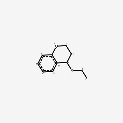 CCSC1CCOc2ccccc21